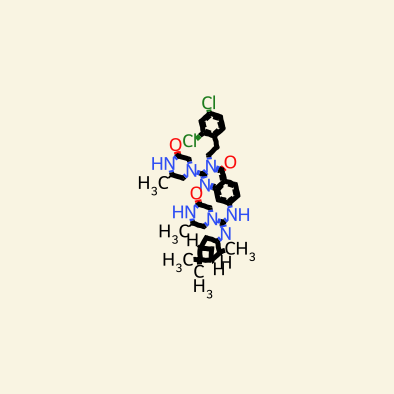 C[C@@H]1C(/N=C(/Nc2ccc3c(=O)n(CCc4ccc(Cl)cc4Cl)c(N4CC(=O)N[C@@H](C)C4)nc3c2)N2CC(=O)N[C@@H](C)C2)C[C@@H]2C[C@H]1C2(C)C